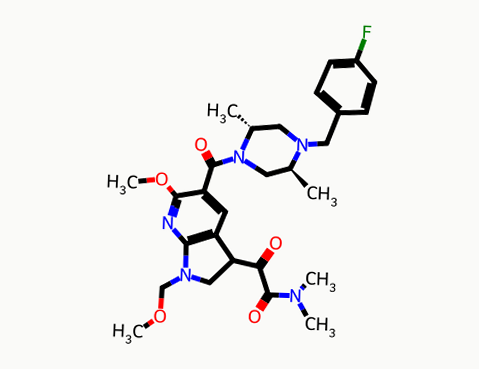 COCN1CC(C(=O)C(=O)N(C)C)c2cc(C(=O)N3C[C@H](C)N(Cc4ccc(F)cc4)C[C@H]3C)c(OC)nc21